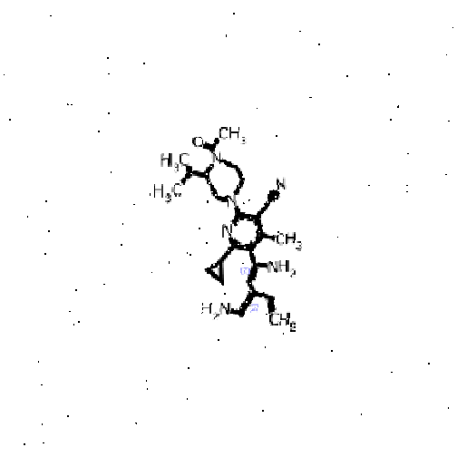 C=CC(=C/N)/C=C(\N)c1c(C2CC2)nc(N2CCN(C(C)=O)C(C(C)C)C2)c(C#N)c1C